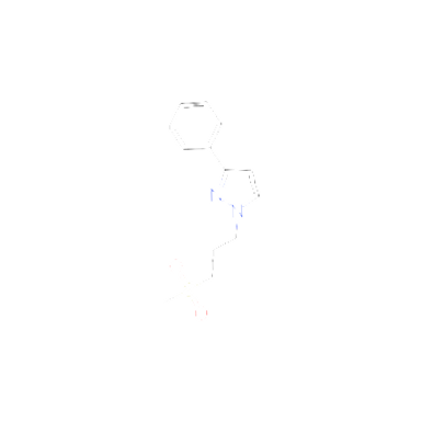 CS(=O)(=O)CCCn1ccc(-c2ccccc2)n1